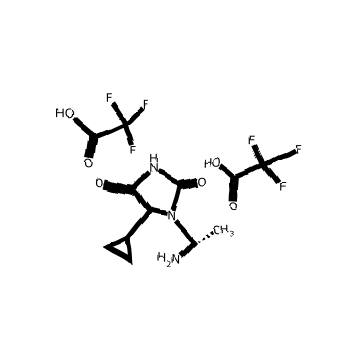 C[C@H](N)N1C(=O)NC(=O)C1C1CC1.O=C(O)C(F)(F)F.O=C(O)C(F)(F)F